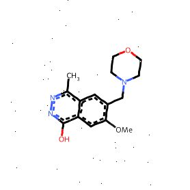 COc1cc2c(O)nnc(C)c2cc1CN1CCOCC1